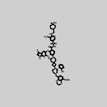 CCOc1nc2[nH]cc(F)c2cc1Oc1cc(N2CCC3(CC2)CC(N2CCN(Cc4ccc(OC)c5c4OCCO5)C[C@H]2c2ccccc2C(C)C)C3)ccc1C(=O)NS(=O)(=O)c1cnc(NCC2CCC(C)(O)CC2)c([N+](=O)[O-])c1